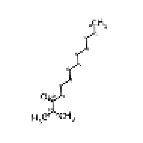 CCCCCCCCCCC(=O)C(C)C